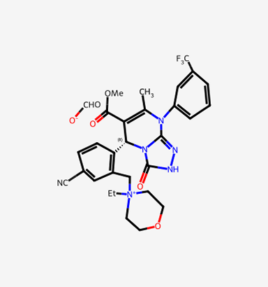 CC[N+]1(Cc2cc(C#N)ccc2[C@@H]2C(C(=O)OC)=C(C)N(c3cccc(C(F)(F)F)c3)c3n[nH]c(=O)n32)CCOCC1.O=C[O-]